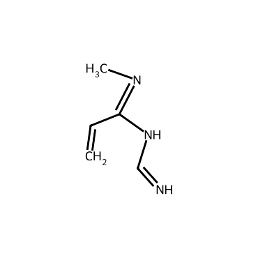 C=C/C(=N\C)NC=N